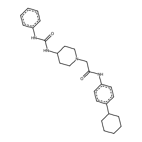 O=C(CN1CCC(NC(=O)Nc2ccccc2)CC1)Nc1ccc(C2CCCCC2)cc1